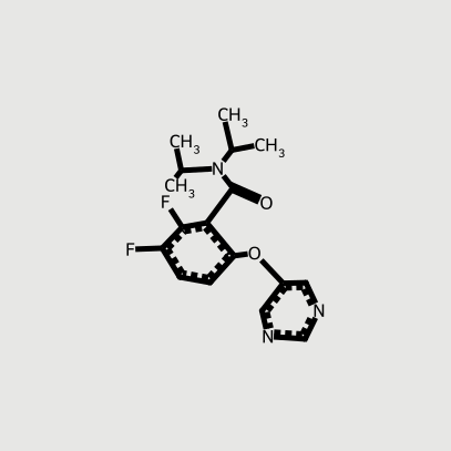 CC(C)N(C(=O)c1c(Oc2cncnc2)ccc(F)c1F)C(C)C